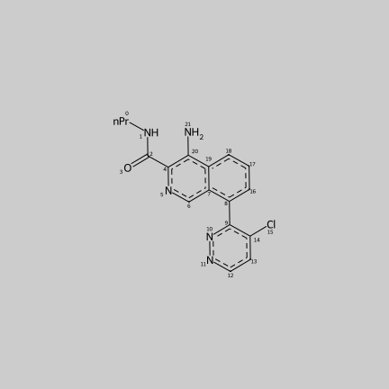 CCCNC(=O)c1ncc2c(-c3nnccc3Cl)cccc2c1N